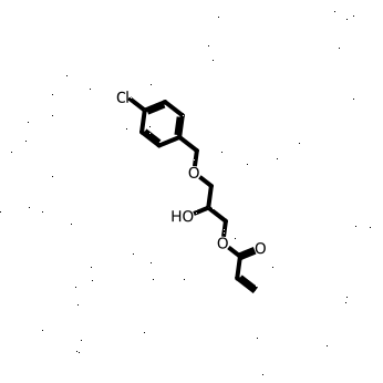 C=CC(=O)OCC(O)COCc1ccc(Cl)cc1